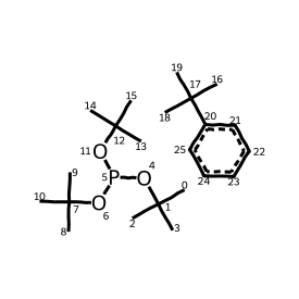 CC(C)(C)OP(OC(C)(C)C)OC(C)(C)C.CC(C)(C)c1ccccc1